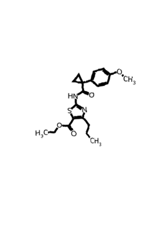 CCCc1nc(NC(=O)C2(c3ccc(OC)cc3)CC2)sc1C(=O)OCC